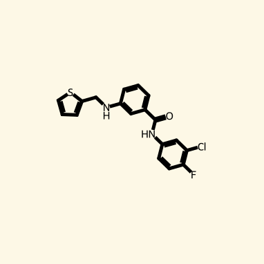 O=C(Nc1ccc(F)c(Cl)c1)c1cccc(NCc2cccs2)c1